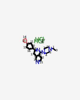 CCN1CCN(c2nc(-c3ccc(OC)cc3)cc3cnccc23)CC1.Cl.Cl